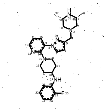 C[C@@H]1CN(Cc2ccn(-c3cccnc3N3CCC(Nc4ccccc4F)CC3)n2)C[C@H](C)N1